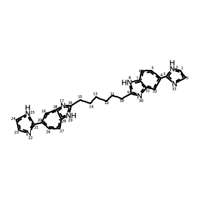 c1c[nH]c(-c2ccc3[nH]c(CCCCCCc4nc5cc(-c6ncc[nH]6)ccc5[nH]4)nc3c2)n1